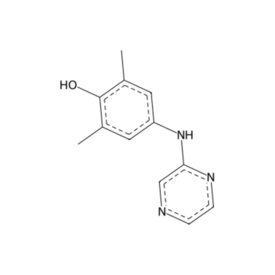 Cc1cc(Nc2cnccn2)cc(C)c1O